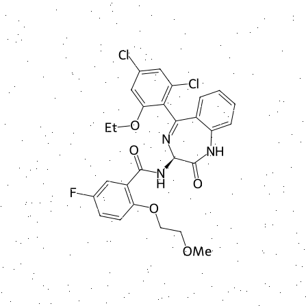 CCOc1cc(Cl)cc(Cl)c1C1=N[C@H](NC(=O)c2cc(F)ccc2OCCOC)C(=O)Nc2ccccc21